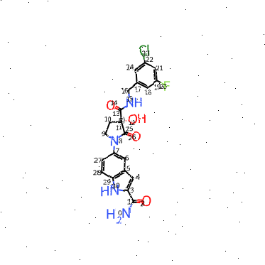 NC(=O)c1cc2cc(N3CC[C@@](O)(C(=O)NCc4cc(F)cc(Cl)c4)C3=O)ccc2[nH]1